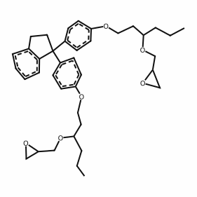 CCCC(CCOc1ccc(C2(c3ccc(OCCC(CCC)OCC4CO4)cc3)CCc3ccccc32)cc1)OCC1CO1